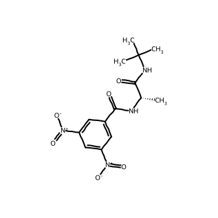 C[C@H](NC(=O)c1cc([N+](=O)[O-])cc([N+](=O)[O-])c1)C(=O)NC(C)(C)C